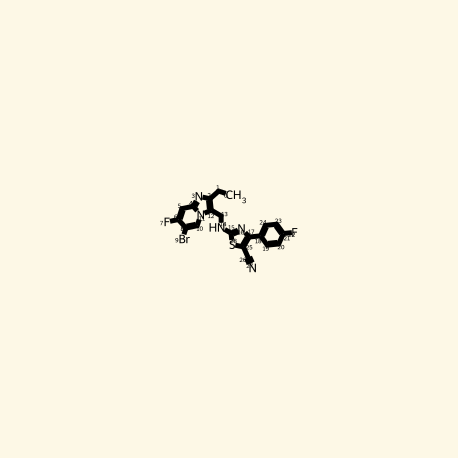 CCc1nc2cc(F)c(Br)cn2c1CNc1nc(-c2ccc(F)cc2)c(C#N)s1